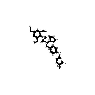 CCc1cc(CC)c(NC(=O)N(Cc2ccc(Oc3ccc(F)cc3)cc2)C2CCCC2)c(CC)c1